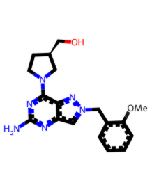 COc1ccccc1Cn1cc2nc(N)nc(N3CC[C@@H](CO)C3)c2n1